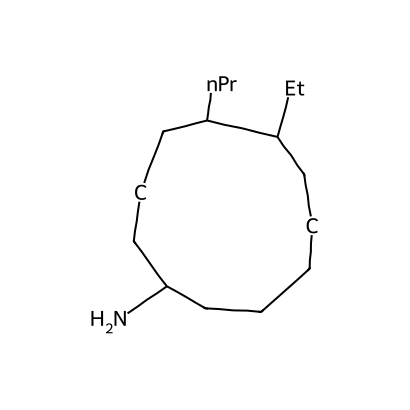 CCCC1CCCC(N)CCCCCC1CC